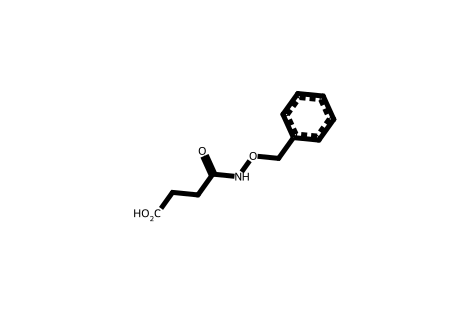 O=C(O)CCC(=O)NOCc1ccccc1